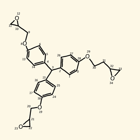 c1cc(C(c2ccc(OCC3CO3)cc2)c2ccc(OCC3CO3)cc2)ccc1OCCC1CO1